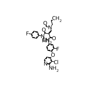 C=CCN(C=O)/C=C(/C(=O)Nc1ccc(Oc2ccnc(N)c2Cl)c(F)c1)C(=O)N(C)c1ccc(F)cc1